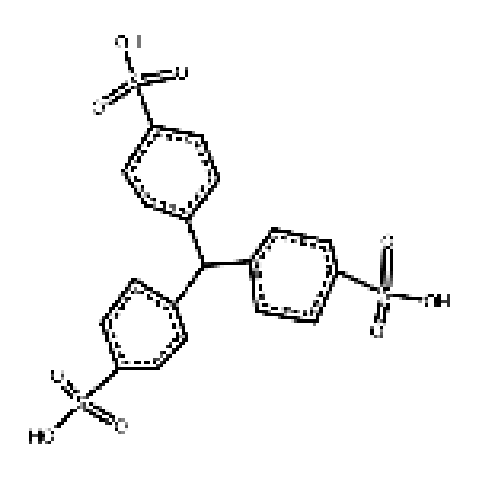 O=S(=O)(O)c1ccc([C](c2ccc(S(=O)(=O)O)cc2)c2ccc(S(=O)(=O)O)cc2)cc1